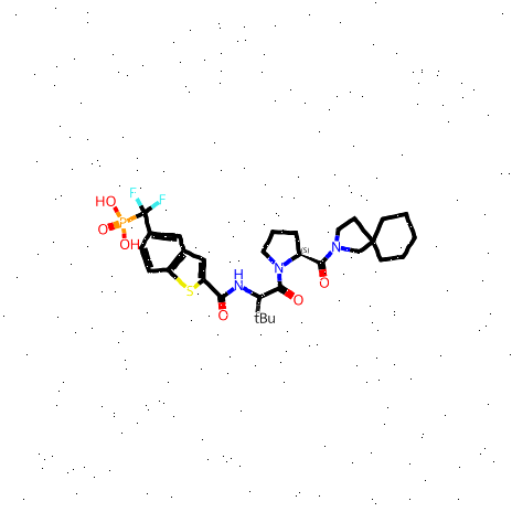 CC(C)(C)C(NC(=O)c1cc2cc(C(F)(F)P(=O)(O)O)ccc2s1)C(=O)N1CCC[C@H]1C(=O)N1CCC2(CCCCC2)C1